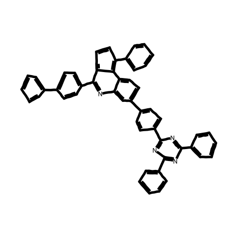 c1ccc(-c2ccc(-c3nc4cc(-c5ccc(-c6nc(-c7ccccc7)nc(-c7ccccc7)n6)cc5)ccc4c4c(-c5ccccc5)cccc34)cc2)cc1